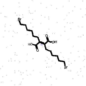 O=C(O)/C(CCCCCCBr)=C(\CCCCCCBr)C(=O)O